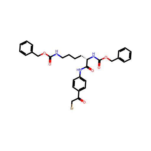 O=C(NCCCC[C@H](NC(=O)OCc1ccccc1)C(=O)Nc1ccc(C(=O)CBr)cc1)OCc1ccccc1